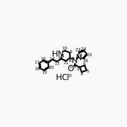 Cl.O=C(C1CCC1)N(C1CCNC(CCc2ccccc2)C1)n1cccc1